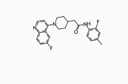 Cc1ccc(NC(=O)CC2CCN(c3ccnc4ccc(F)cc34)CC2)c(F)c1